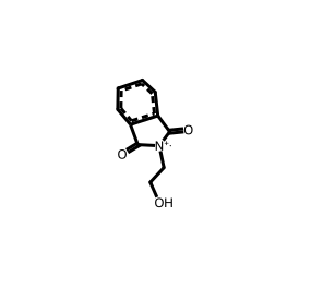 O=C1c2ccccc2C(=O)[N+]1CCO